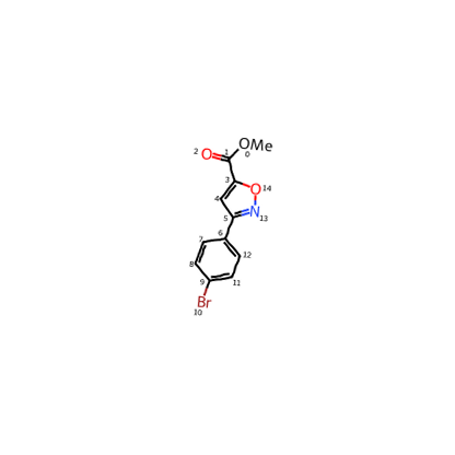 COC(=O)c1cc(-c2ccc(Br)cc2)no1